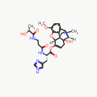 COc1ccc2c3c1O[C@H]1C(OC(=O)[C@H](Cc4c[nH]cn4)NC(=O)CCNC(=O)[C@H](C)O)=CC[C@@]4(O)[C@@H](C2)N(C)CC[C@]314